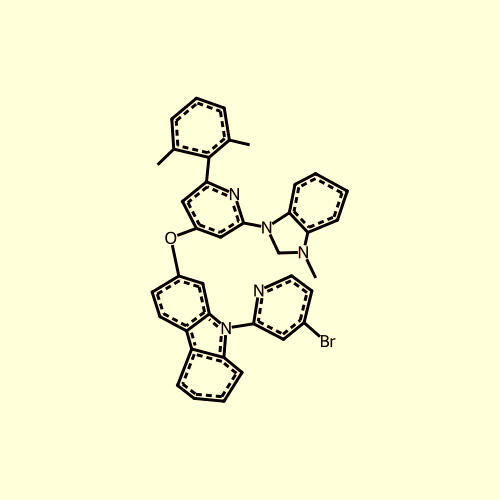 Cc1cccc(C)c1-c1cc(Oc2ccc3c4ccccc4n(-c4cc(Br)ccn4)c3c2)cc(N2CN(C)c3ccccc32)n1